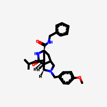 COc1ccc(CN2CC3C[C@]4(C(=O)NCc5ccccc5)NC(=O)[C@H]3[C@H]2[C@H]4CC(C)C)cc1